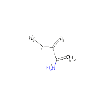 C=C(N)C(=C)CC